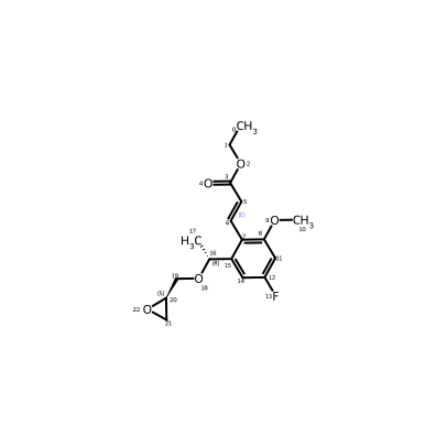 CCOC(=O)/C=C/c1c(OC)cc(F)cc1[C@@H](C)OC[C@H]1CO1